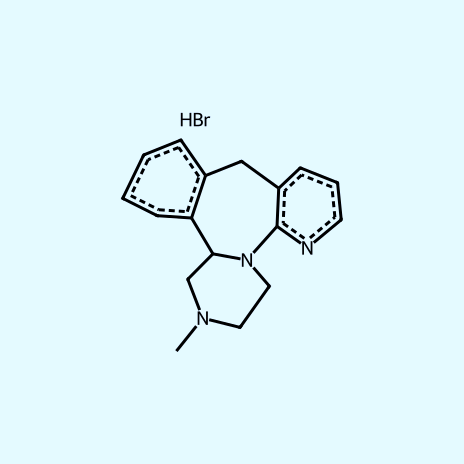 Br.CN1CCN2c3ncccc3Cc3ccccc3C2C1